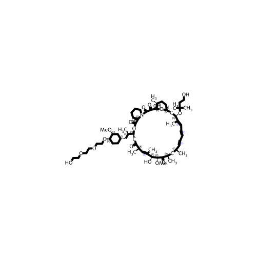 CO[C@@H]1C[C@H](C[C@@H](C)[C@@H]2CC(=O)[C@H](C)/C=C(\C)[C@@H](O)[C@@H](OC)C(=O)[C@H](C)C[C@H](C)/C=C/C=C/C=C(\C)[C@@H](OC(C)(C)CCO)C[C@@H]3CC[C@@H](C)[C@@](O)(O3)C(=O)C(=O)N3CCCC[C@H]3C(=O)O2)CC[C@H]1OCCOCCOCCO